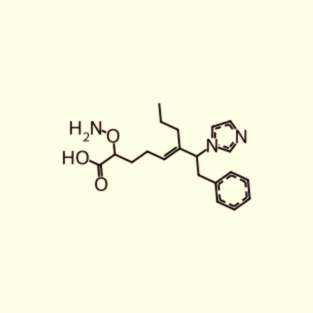 CCCC(=CCCC(ON)C(=O)O)C(Cc1ccccc1)n1ccnc1